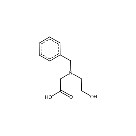 O=C(O)CN(CCO)Cc1ccccc1